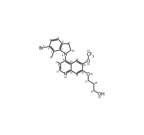 Cc1c(Br)ccc2c1N(c1ncnc3cc(OCCCO)c(OC(F)(F)F)cc13)CC2